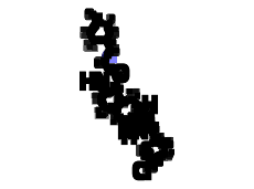 Cc1ccc(/C=C/C(=O)Nc2ccc3c(c2)C[C@H]2CC[C@@H](C3)[C@H]2NCc2ccc(Cl)s2)cc1